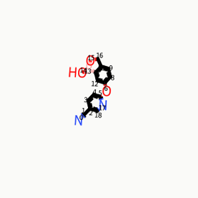 N#Cc1ccc(Oc2ccc3c(c2)B(O)OC3)nc1